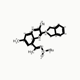 CC(=N[S+]([O-])C(C)(C)C)c1cc(C)cc2nc(C#N)c(N3Cc4ccccc4C3)nc12